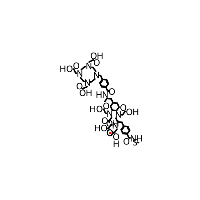 CSNC(=O)c1ccc(CC(CN(CC(=O)O)C2CCC(CC(C)NC(=O)c3ccc(CN4CCN(CC(=O)O)CCN(CC(=O)O)CCN(CC(=O)O)CC4)cc3)CC2N(CC(=O)O)CC(=O)O)N(CC(=O)O)CC(=O)O)cc1